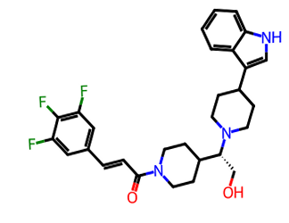 O=C(C=Cc1cc(F)c(F)c(F)c1)N1CCC([C@@H](CO)N2CCC(c3c[nH]c4ccccc34)CC2)CC1